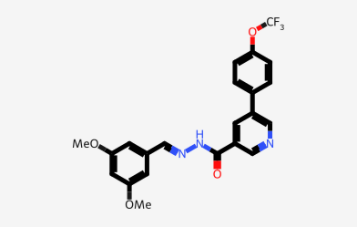 COc1cc(/C=N/NC(=O)c2cncc(-c3ccc(OC(F)(F)F)cc3)c2)cc(OC)c1